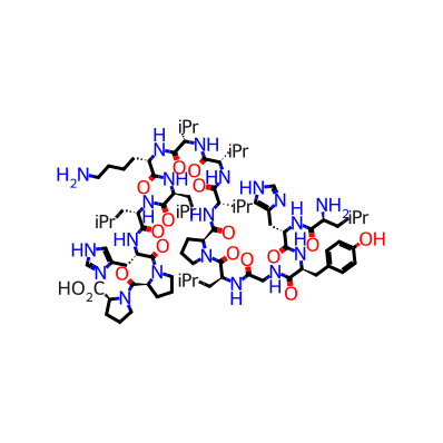 CC(C)C[C@H](NC(=O)[C@H](CCCCN)NC(=O)[C@@H](NC(=O)[C@@H](NC(=O)[C@@H](NC(=O)[C@@H]1CCCN1C(=O)[C@H](CC(C)C)NC(=O)CNC(=O)[C@H](Cc1ccc(O)cc1)NC(=O)[C@H](Cc1c[nH]cn1)NC(=O)[C@@H](N)CC(C)C)C(C)C)C(C)C)C(C)C)C(=O)N[C@@H](CC(C)C)C(=O)N[C@@H](Cc1c[nH]cn1)C(=O)N1CCC[C@H]1C(=O)N1CCC[C@H]1C(=O)O